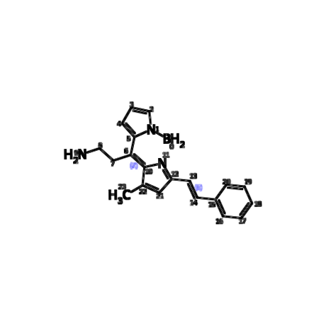 Bn1cccc1/C(CCN)=C1N=C(/C=C/c2ccccc2)C=C\1C